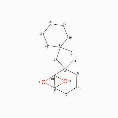 CC1(CC2(C)CCCC34OC23O4)CCCCC1